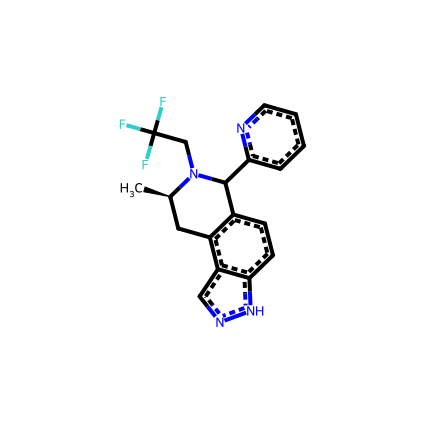 C[C@@H]1Cc2c(ccc3[nH]ncc23)C(c2ccccn2)N1CC(F)(F)F